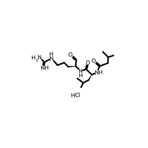 CC(C)CC(=O)N[C@@H](CC(C)C)C(=O)N[C@H](C=O)CCCNC(=N)N.Cl